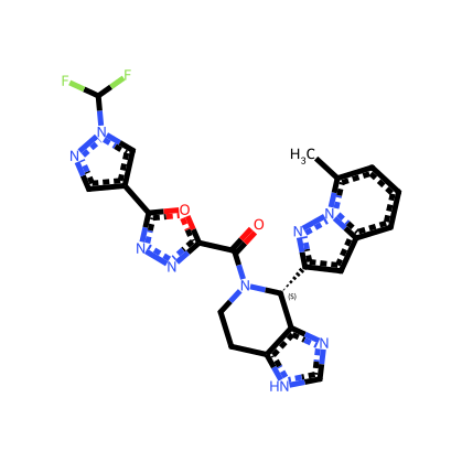 Cc1cccc2cc([C@@H]3c4nc[nH]c4CCN3C(=O)c3nnc(-c4cnn(C(F)F)c4)o3)nn12